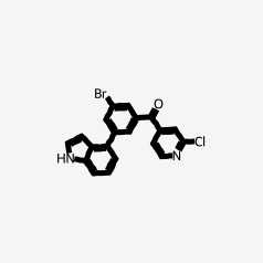 O=C(c1cc(Br)cc(-c2cccc3[nH]ccc23)c1)c1ccnc(Cl)c1